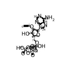 C#CO[C@@H]1[C@@H](O)[C@@H](COP(=O)(O)OP(=O)(O)OP(=O)(O)O)O[C@H]1n1cnc2c(N)ncnc21